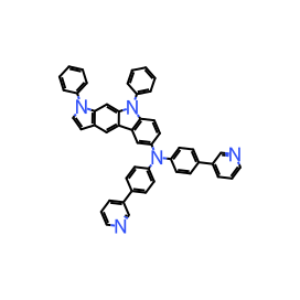 c1ccc(-n2ccc3cc4c5cc(N(c6ccc(-c7cccnc7)cc6)c6ccc(-c7cccnc7)cc6)ccc5n(-c5ccccc5)c4cc32)cc1